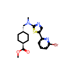 COC(=O)[C@H]1CC[C@H](CN(C)c2ncc(-c3cccc(Br)n3)s2)CC1